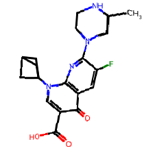 CC1CN(c2nc3c(cc2F)c(=O)c(C(=O)O)cn3C23CC(C2)C3)CCN1